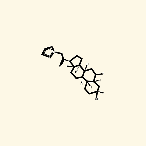 C[C@@]1(O)CC[C@@H]2[C@H]3CC[C@]4(C)[C@@H](C(=O)Cn5nccn5)CC[C@H]4[C@@H]3C[C@@H](F)[C@@H]2C1